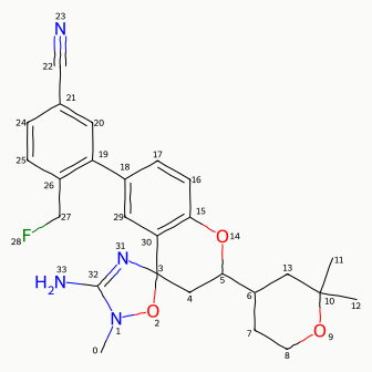 CN1OC2(CC(C3CCOC(C)(C)C3)Oc3ccc(-c4cc(C#N)ccc4CF)cc32)N=C1N